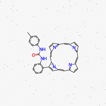 Cc1ccc(NC(=O)Nc2ccccc2C2=CC3=CC4=NC(=CC5=NC(=CC6=NC(=CC2=N3)C=C6)C=C5)C=C4)cc1